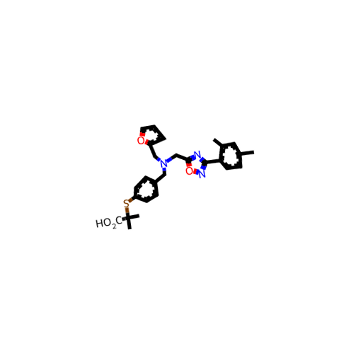 Cc1ccc(-c2noc(CN(Cc3ccc(SC(C)(C)C(=O)O)cc3)Cc3ccco3)n2)c(C)c1